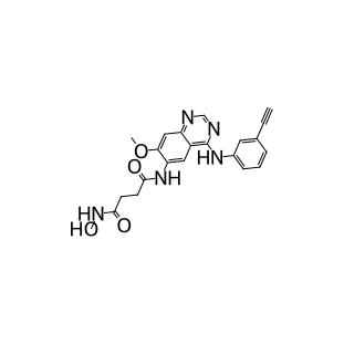 C#Cc1cccc(Nc2ncnc3cc(OC)c(NC(=O)CCC(=O)NO)cc23)c1